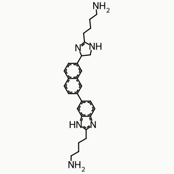 NCCCCC1=NC(c2ccc3ccc(-c4ccc5nc(CCCCN)[nH]c5c4)cc3c2)CN1